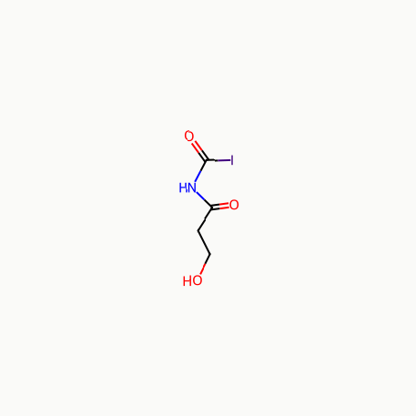 O=C(I)NC(=O)CCO